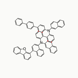 c1ccc(-c2ccc(-c3ccc(N(c4ccc5ccccc5c4)c4ccccc4-c4ccccc4N(c4ccc5ccccc5c4)c4ccc(-c5cccc6c5oc5ccccc56)c5ccccc45)cc3)cc2)cc1